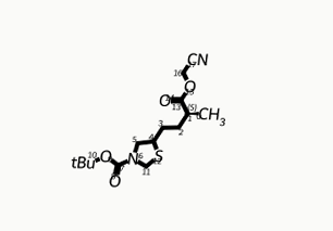 C[C@@H](CCC1CN(C(=O)OC(C)(C)C)CS1)C(=O)OCC#N